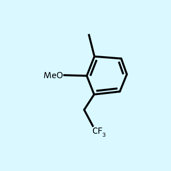 COc1c(C)cccc1CC(F)(F)F